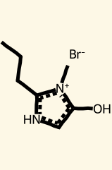 CCCc1[nH]cc(O)[n+]1C.[Br-]